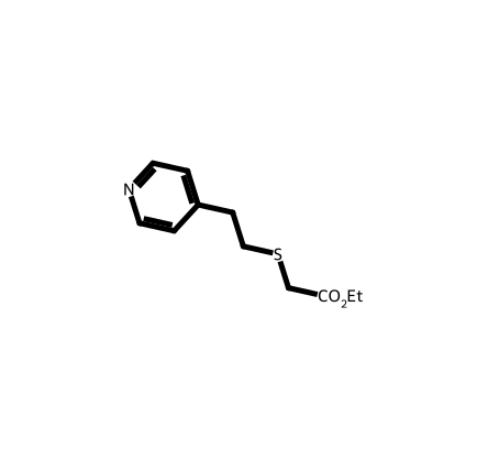 CCOC(=O)CSCCc1ccncc1